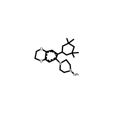 CCCN1CCN(c2cc3c(cc2C2CC(C)(C)CC(C)(C)C2)OCCO3)CC1